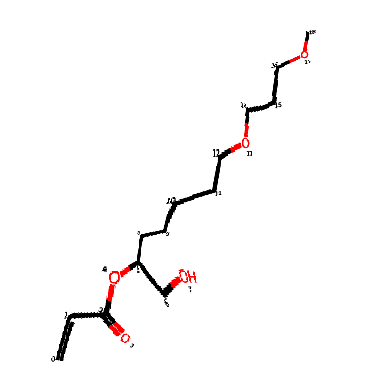 C=CC(=O)OC(CO)CCCCCOCCCOC